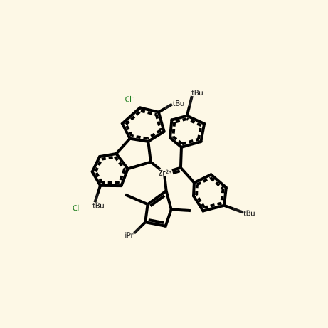 CC1=[C]([Zr+2](=[C](c2ccc(C(C)(C)C)cc2)c2ccc(C(C)(C)C)cc2)[CH]2c3cc(C(C)(C)C)ccc3-c3ccc(C(C)(C)C)cc32)C(C)C=C1C(C)C.[Cl-].[Cl-]